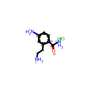 Cl.NCCc1cc(N)ccc1C(N)=O